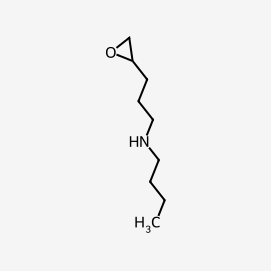 CCCCNCCCC1CO1